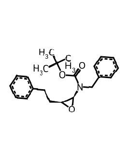 CC(C)(C)OC(=O)N(Cc1ccccc1)[C@H]1O[C@H]1CCc1ccccc1